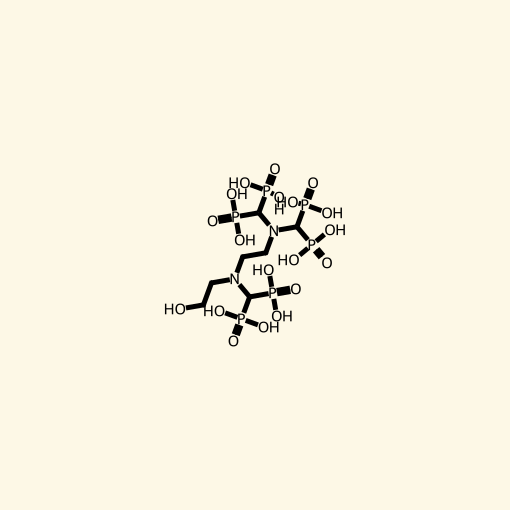 O=P(O)(O)C(N(CCO)CCN(C(P(=O)(O)O)P(=O)(O)O)C(P(=O)(O)O)P(=O)(O)O)P(=O)(O)O